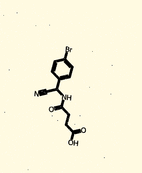 N#CC(NC(=O)CCC(=O)O)c1ccc(Br)cc1